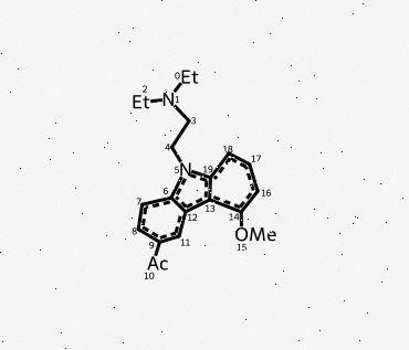 CCN(CC)CCn1c2ccc(C(C)=O)cc2c2c(OC)cccc21